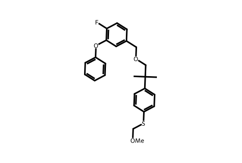 COCSc1ccc(C(C)(C)COCc2ccc(F)c(Oc3ccccc3)c2)cc1